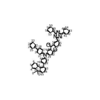 CC1(C)c2ccccc2-c2c(-c3ccc(N(c4ccc(-c5ccccc5)cc4)c4ccc5oc6ccc(-c7nc(-c8ccccc8)nc(-c8ccccc8)n7)cc6c(=O)c5c4)cc3)cccc21